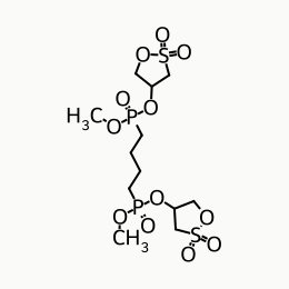 COP(=O)(CCCCP(=O)(OC)OC1COS(=O)(=O)C1)OC1COS(=O)(=O)C1